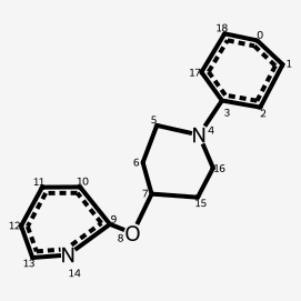 c1ccc(N2CCC(Oc3ccccn3)CC2)cc1